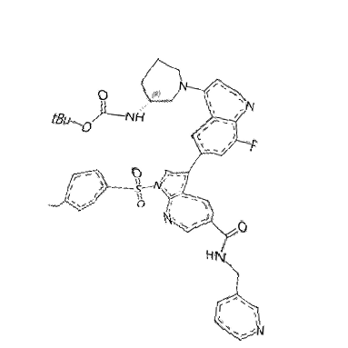 Cc1ccc(S(=O)(=O)n2cc(-c3cc(F)c4nccc(N5CCC[C@@H](NC(=O)OC(C)(C)C)C5)c4c3)c3cc(C(=O)NCc4cccnc4)cnc32)cc1